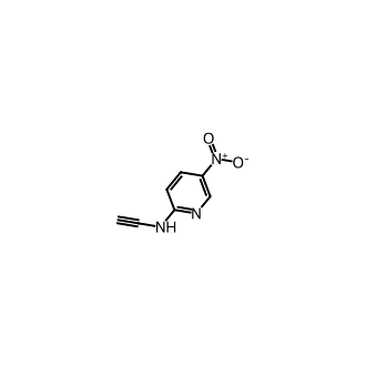 C#CNc1ccc([N+](=O)[O-])cn1